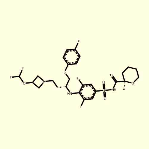 C[C@]1(C(=O)NS(=O)(=O)c2cc(F)c(N[C@H](CCN3CC(OC(F)F)C3)CSc3ccc(F)cc3)c(F)c2)CCCCO1